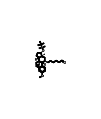 C=C[C@@]12CCc3cc(OC)ccc3[C@H]1[C@@H](CCCCCC=O)C[C@]1(C)[C@@H](O[Si](C)(C)C(C)(C)C)CC[C@H]12